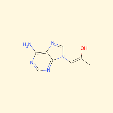 CC(O)=Cn1cnc2c(N)ncnc21